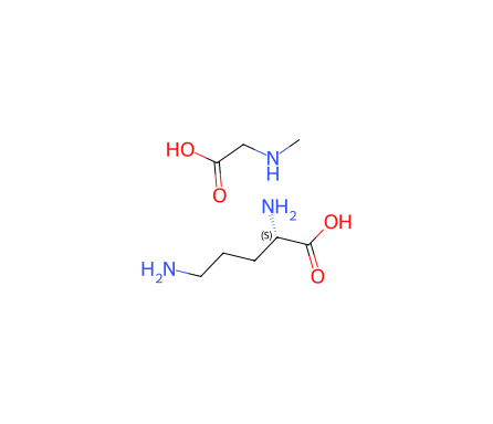 CNCC(=O)O.NCCC[C@H](N)C(=O)O